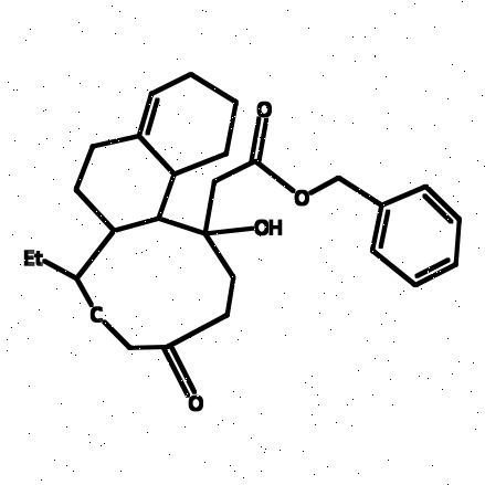 CCC1CCC(=O)CCC(O)(CC(=O)OCc2ccccc2)C2C3CCCC=C3CCC12